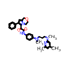 Cc1cc(C)nc(N(C)CCCN(C)c2ccc(NC(=O)C(=O)c3c(-c4ccccc4)cc4n3CCOC4)cc2)c1